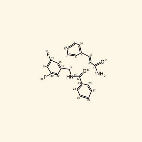 NC(=O)/C=C/c1ccncc1.O=C(NCc1cc(F)cc(F)c1)c1ccccc1